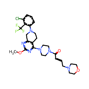 COc1nc2c(c(N3CCN(C(=O)/C=C/CN4CCOCC4)CC3)n1)CCN(c1cccc(Cl)c1C(F)(F)F)C2